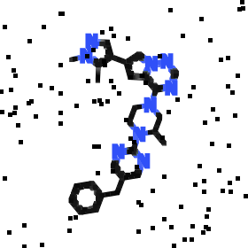 Cc1c(-c2cc3c(N4CCN(c5ncc(Cc6ccccc6)cn5)C(C)C4)ncnn3c2)cnn1C